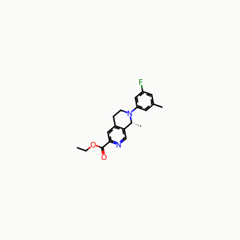 CCOC(=O)c1cc2c(cn1)[C@@H](C)N(c1cc(C)cc(F)c1)CC2